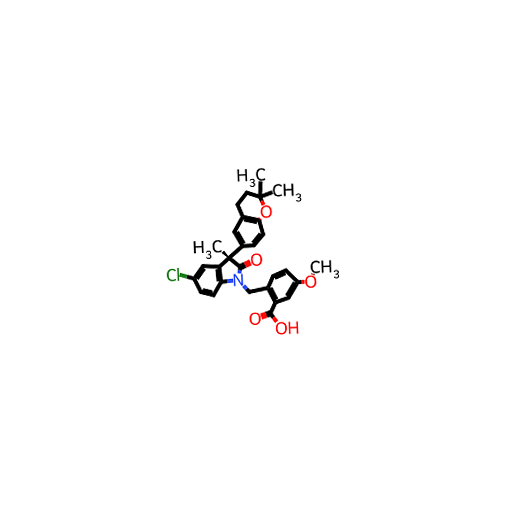 COc1ccc(CN2C(=O)[C@@](C)(c3ccc4c(c3)CCC(C)(C)O4)c3cc(Cl)ccc32)c(C(=O)O)c1